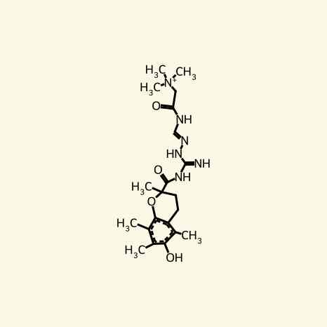 Cc1c(C)c2c(c(C)c1O)CCC(C)(C(=O)NC(=N)N/N=C/NC(=O)C[N+](C)(C)C)O2